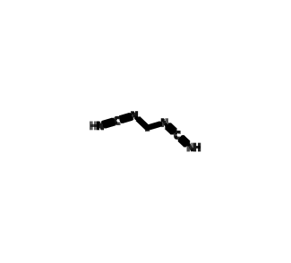 N=C=N[C]N=C=N